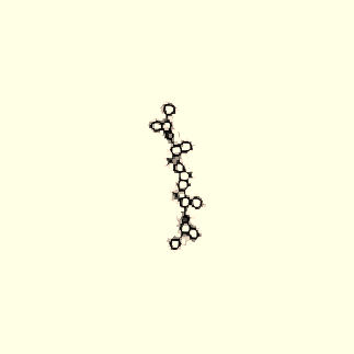 CC1(C)c2cc3c(cc2-c2cc4c(cc21)-c1c(cc(-c2cc5c(cc(-c6ccccc6)c6ccccc65)o2)c2ccccc12)C4(C)C)C(C)(C)c1cc(-c2cc4c(cc(-c5ccccc5)c5ccccc54)o2)c2ccccc2c1-3